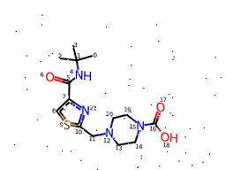 CC(C)(C)NC(=O)c1csc(CN2CCN(C(=O)O)CC2)n1